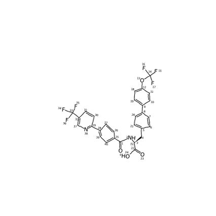 O=C(N[C@@H](Cc1ccc(-c2ccc(OC(F)(F)F)cc2)cc1)C(=O)O)c1ccc(-c2ccc(C(F)(F)F)cn2)cc1